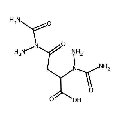 NC(=O)N(N)C(=O)CC(C(=O)O)N(N)C(N)=O